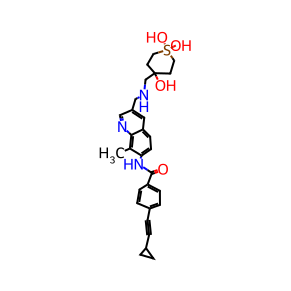 Cc1c(NC(=O)c2ccc(C#CC3CC3)cc2)ccc2cc(CNCC3(O)CCS(O)(O)CC3)cnc12